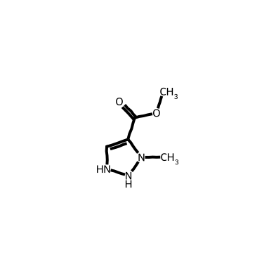 COC(=O)C1=CNNN1C